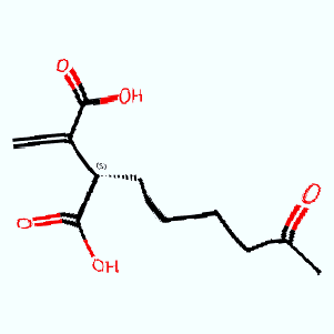 C=C(C(=O)O)[C@H](CCCCC(C)=O)C(=O)O